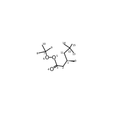 C[C@@H](CC(=O)OOC(C)(C)C)CC(C)(C)C